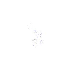 Cn1ccc(-c2nc(N)c(NC(=O)NCC3CCCCC3)nc2-c2cc(Cl)c3ncccc3c2)n1